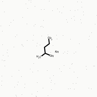 CCCC(C)O.[KH]